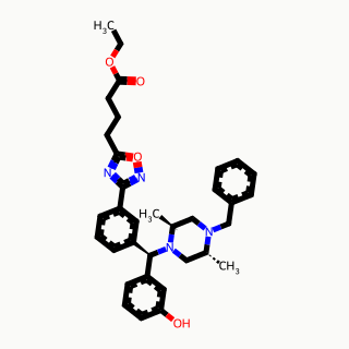 CCOC(=O)CCCc1nc(-c2cccc([C@H](c3cccc(O)c3)N3C[C@@H](C)N(Cc4ccccc4)C[C@@H]3C)c2)no1